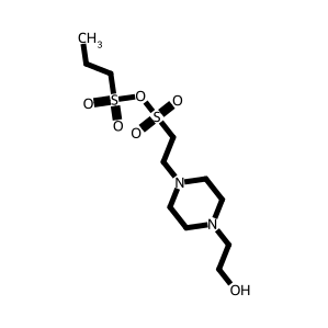 CCCS(=O)(=O)OS(=O)(=O)CCN1CCN(CCO)CC1